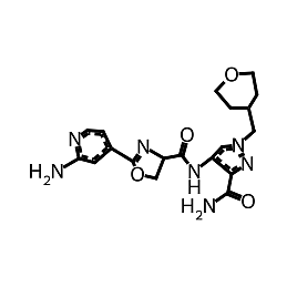 NC(=O)c1nn(CC2CCOCC2)cc1NC(=O)C1COC(c2ccnc(N)c2)=N1